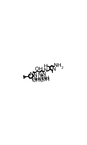 Cc1cc(N)nc(C)c1CNc1cc(C(O)c2cn3cc(C4CC4)ccc3n2)ncn1.O=CO.O=CO